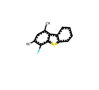 N#Cc1cc(C#N)c2c(sc3ccccc32)c1F